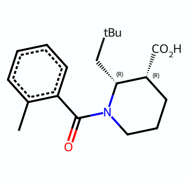 Cc1ccccc1C(=O)N1CCC[C@@H](C(=O)O)[C@H]1CC(C)(C)C